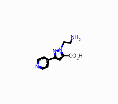 NCCn1nc(-c2ccncc2)cc1C(=O)O